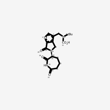 CC(C)(C)N(Cc1csc2c1CN([C@H]1CCCC(=O)NC1=O)C2=O)C(=O)O